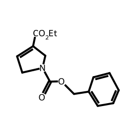 CCOC(=O)C1=CCN(C(=O)OCc2ccccc2)C1